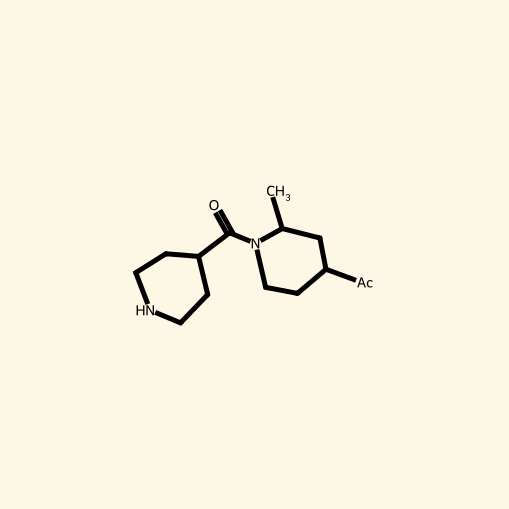 CC(=O)C1CCN(C(=O)C2CCNCC2)C(C)C1